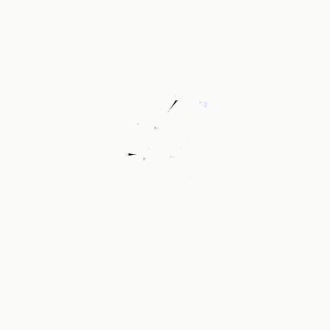 CCC1=C[C@@H]2[C@H](CN)C[C@H]2C1